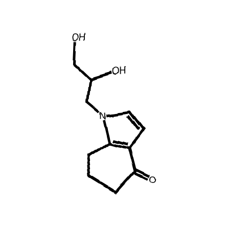 O=C1CCCc2c1ccn2CC(O)CO